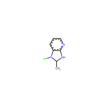 CC1Nc2ncccc2N1F